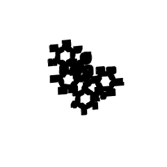 Cc1ccccc1S(OS(=O)(=O)c1ccccc1)(c1ccccc1)c1ccccc1